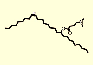 CCCCCCCC/C=C\CCCCCCCC(CCCCCCCCC)OC(=O)CCCN(C)C